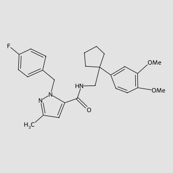 COc1ccc(C2(CNC(=O)c3cc(C)nn3Cc3ccc(F)cc3)CCCC2)cc1OC